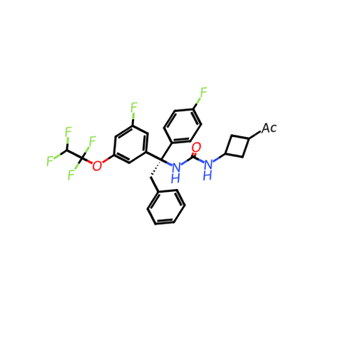 CC(=O)C1CC(NC(=O)N[C@](Cc2ccccc2)(c2ccc(F)cc2)c2cc(F)cc(OC(F)(F)C(F)F)c2)C1